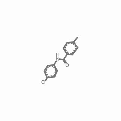 [CH2]c1ccc(C(=O)Nc2ccc(Cl)cc2)cc1